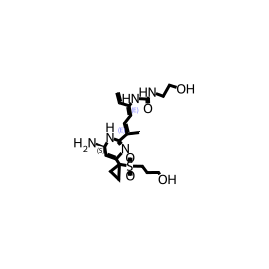 C=C/C(=C\C=C(/C)C1=NC(C2(S(=O)(=O)CCCO)CC2)=C[C@@H](N)N1)NC(=O)NCCO